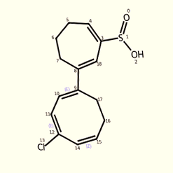 O=S(O)C1=CCCCC(/C2=C/C=C(Cl)\C=C/CC2)=C1